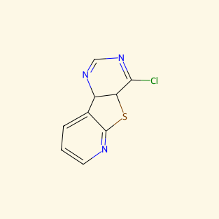 ClC1=NC=NC2c3cccnc3SC12